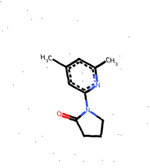 Cc1cc(C)nc(N2CCCC2=O)c1